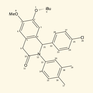 CC[C@@H](C)Oc1cc2c(cc1OC)CC(=O)N(c1ccc(C)c(C)c1)C2c1ccc(Cl)cc1